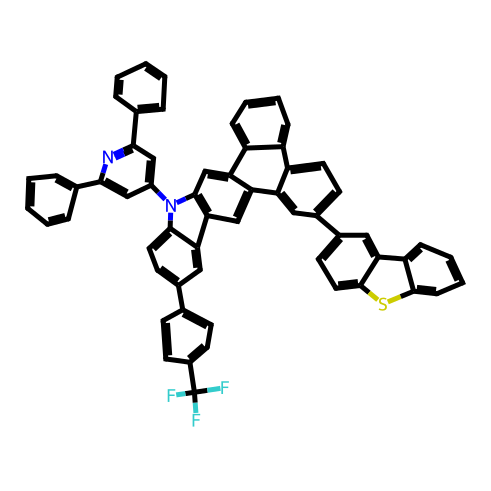 FC(F)(F)c1ccc(-c2ccc3c(c2)c2cc4c5cc(-c6ccc7sc8ccccc8c7c6)ccc5c5ccccc5c4cc2n3-c2cc(-c3ccccc3)nc(-c3ccccc3)c2)cc1